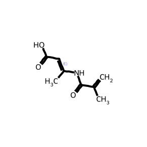 C=C(C)C(=O)N/C(C)=C/C(=O)O